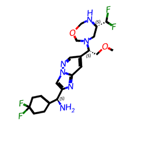 COC[C@H](c1cnn2cc([C@@H](N)C3CCC(F)(F)CC3)nc2c1)N1COCN[C@H](C(F)F)C1